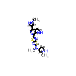 C[C@@H]1C[C@@H](N(C)c2nc3sc(-c4ncc(-c5cnn(C)c5)c5cc[nH]c45)nc3s2)CCN1